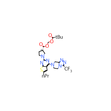 CCCc1cc2c(N3CCn4c(nnc4C(F)(F)F)C3)nc(N3CC[C@H](C(=O)OCOC(=O)C(C)(C)C)C3)nc2s1